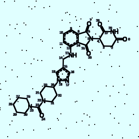 O=C1CCC(N2C(=O)c3cccc(NCc4cnn(C5CCN(C(=O)N6CCCCC6)CC5)c4)c3C2=O)C(=O)N1